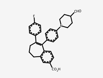 O=CC1CCN(c2ccc(C3=C(c4ccc(F)cc4)CCCc4cc(C(=O)O)ccc43)cc2)CC1